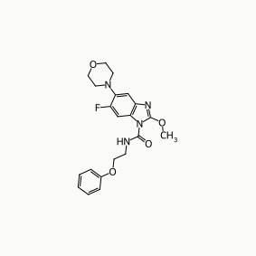 COc1nc2cc(N3CCOCC3)c(F)cc2n1C(=O)NCCOc1ccccc1